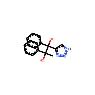 CC(O)(c1ccccc1)C(O)(c1ccccc1)c1c[nH]nn1